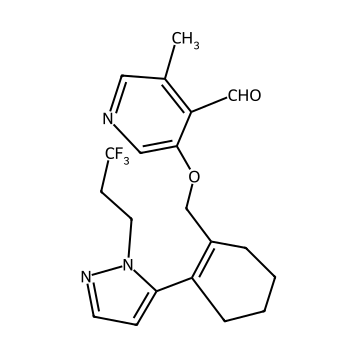 Cc1cncc(OCC2=C(c3ccnn3CCC(F)(F)F)CCCC2)c1C=O